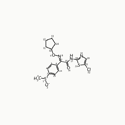 C[S+]([O-])c1ccc(/C(=N\OC2CCCC2)C(=O)Nc2ncc(Cl)s2)cc1